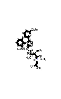 C=N/C(=N\C=C(C)C)[C@H](OC(C)C)[C@H](C)S(=O)(=O)Nc1nnc(-c2cccc(OC)n2)n1-c1c(OC)cccc1OC